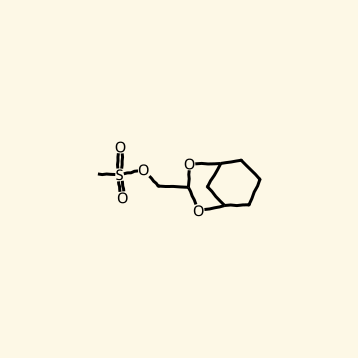 CS(=O)(=O)OCC1OC2CCCC(C2)O1